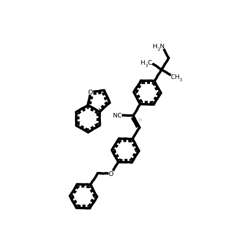 CC(C)(CN)c1ccc(/C(C#N)=C/c2ccc(OCc3ccccc3)cc2)cc1.c1ccc2occc2c1